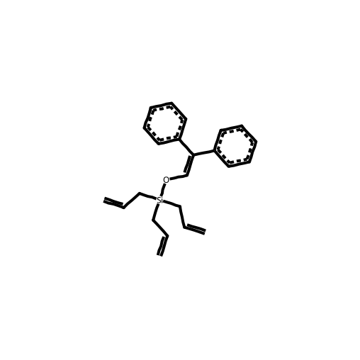 C=CC[Si](CC=C)(CC=C)OC=C(c1ccccc1)c1ccccc1